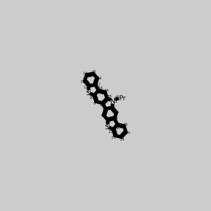 CC(C)n1c2cc3c(cc2c2cc4sc5ccccc5c4cc21)sc1ccccc13